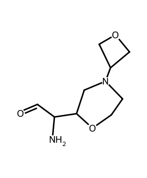 NC(C=O)C1CN(C2COC2)CCO1